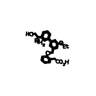 CCOc1cc(COc2ccccc2CC(=O)O)cc(-c2cccc(C(N)CO)c2)c1